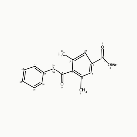 CO[N+](=O)c1cc(C)c(C(=O)Nc2ccccc2)c(C)c1